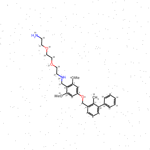 COc1cc(OCc2cccc(-c3ccccc3)c2C)cc(OC)c1CNCCOCCOCCN